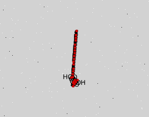 C=C=C=C=C=C=C=C=C=C=C=C=C=C=C=C=C=C=C=C=C=C=C=C=C=C=C=C=C=C=C=C=C=C(C(=O)O)C(=O)Oc1ccc(O)c2c1C(=O)c1ccccc1C2=O